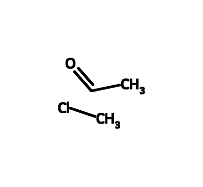 CC=O.CCl